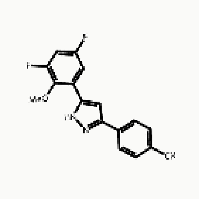 COc1c(F)cc(F)cc1-c1cc(-c2ccc(C#N)cc2)n[nH]1